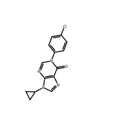 O=c1c2ncn(C3CC3)c2ncn1-c1ccc(Cl)cc1